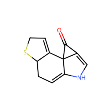 O=C1C2=CNC3=CCC4SCC=C4C132